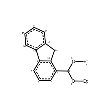 CCOC(OCC)c1cccc2c1Cc1ccccc1-2